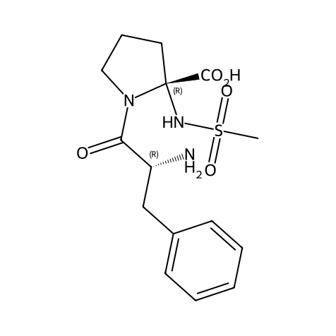 CS(=O)(=O)N[C@@]1(C(=O)O)CCCN1C(=O)[C@H](N)Cc1ccccc1